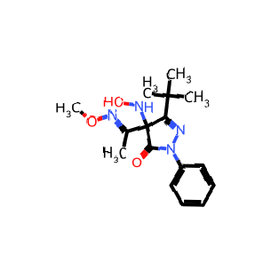 CO/N=C(\C)C1(NO)C(=O)N(c2ccccc2)N=C1C(C)(C)C